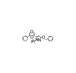 CC(C)n1nc(OCc2ccccc2)cc1C1=COC=C(C2=CC=CCC2)O1